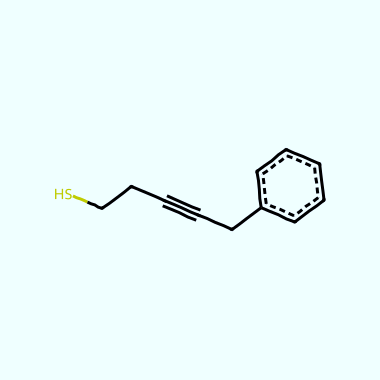 SCCC#CCc1ccccc1